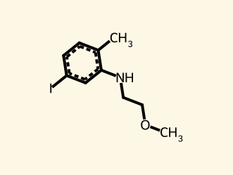 COCCNc1cc(I)ccc1C